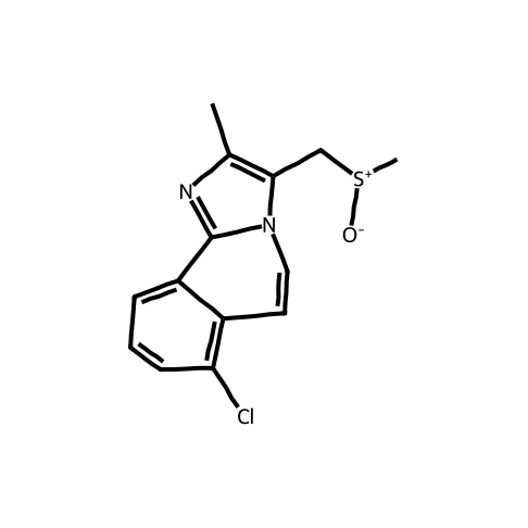 Cc1nc2c3cccc(Cl)c3ccn2c1C[S+](C)[O-]